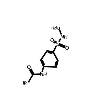 CCCCNS(=O)(=O)c1ccc(NC(=O)C(C)C)cc1